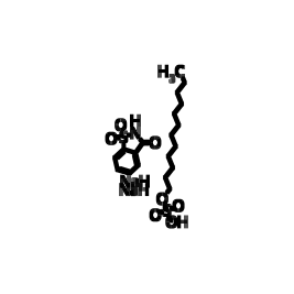 CCCCCCCCCCCCOS(=O)(=O)O.O=C1NS(=O)(=O)c2ccccc21.[NaH].[NaH]